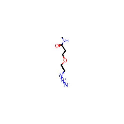 CNC(=O)CCOCCN=[N+]=[N-]